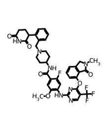 COc1cc(C(=O)NC2CCN(Cc3ccccc3C3CCC(=O)NC3=O)CC2)c(F)cc1Nc1ncc(C(F)(F)F)c(Oc2cccc3c2C(=O)N(C)C3)n1